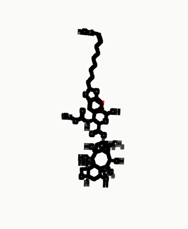 CCCCCCCC/C=C\CCCCCCCC1OCC(COC(O)O[C@@H](C(=O)O[C@H]2CC3(O)[C@@H](O)[C@@H]4[C@]5(O)CO[C@@H]5C[C@H](O)[C@@]4(C)C(=O)[C@H](O)C(=C2C)C3(C)C)[C@@H](NC(=O)OC(C)(C)C)c2ccccc2)O1